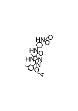 COCC(=O)N[C@@H]1CC[C@@H](NC(=O)c2c(C)[nH]c3c(-c4cc(C)ccc4OCC4CC4)ncnc23)[C@H](C)C1